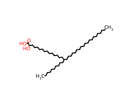 CCCCCCCCCCCCCCCCCCCCC(CCCCCCCCCC)CCCCCCCCCCCCCC(O)C(=O)O